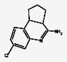 NC1=Nc2cc(Cl)ccc2C2CCCC12